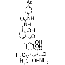 CC(=O)c1ccc(NC(=O)NCc2ccc3c(c2O)C(=O)C2=C(O)C4(O)C(=O)C(C(N)=O)=C(O)C(N(C)C)C4CC2C3)cc1